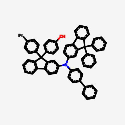 CC(C)c1ccc(C2(c3ccc(O)cc3)c3ccccc3-c3ccc(N(c4ccc(-c5ccccc5)cc4)c4ccc5c(c4)C(c4ccccc4)(c4ccccc4)c4ccccc4-5)cc32)cc1